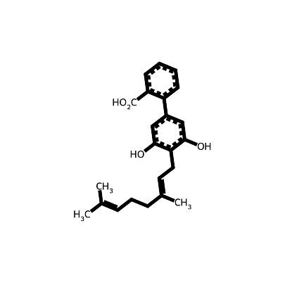 CC(C)=CCC/C(C)=C/Cc1c(O)cc(-c2ccccc2C(=O)O)cc1O